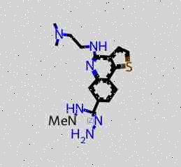 CNN/C(=N\N)c1ccc2c(c1)nc(NCCN(C)C)c1ccsc12